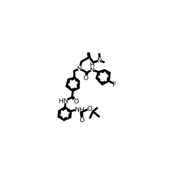 C=C(CN(C)C)CN(Cc1ccc(C(=O)Nc2ccccc2NC(=O)OC(C)(C)C)cc1)C(=O)Nc1ccc(F)cc1